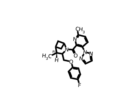 Cc1ccc(-n2nccn2)c(C(=O)N2C3CC(C3)[C@@H](C)C2COc2ccc(F)cc2)n1